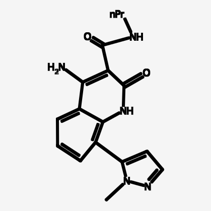 CCCNC(=O)c1c(N)c2cccc(-c3ccnn3C)c2[nH]c1=O